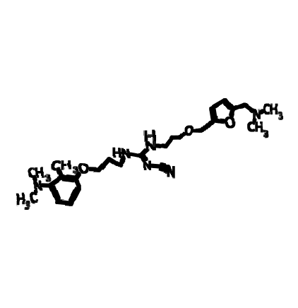 Cc1c(OCCCNC(=NC#N)NCCCOCc2ccc(CN(C)C)o2)cccc1N(C)C